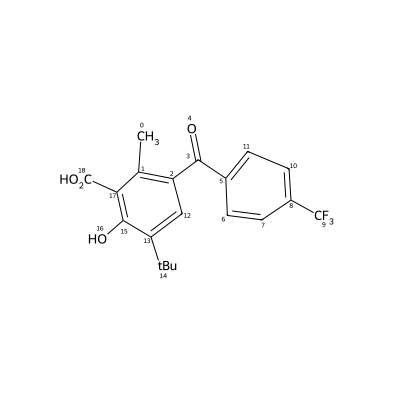 Cc1c(C(=O)c2ccc(C(F)(F)F)cc2)cc(C(C)(C)C)c(O)c1C(=O)O